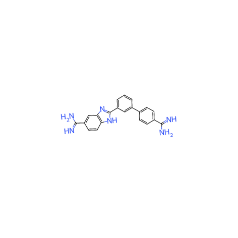 N=C(N)c1ccc(-c2cccc(-c3nc4cc(C(=N)N)ccc4[nH]3)c2)cc1